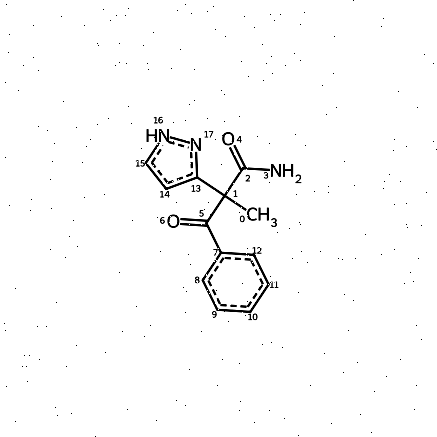 CC(C(N)=O)(C(=O)c1ccccc1)c1cc[nH]n1